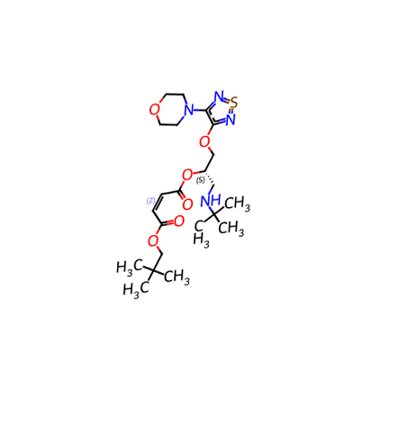 CC(C)(C)COC(=O)/C=C\C(=O)O[C@@H](CNC(C)(C)C)COc1nsnc1N1CCOCC1